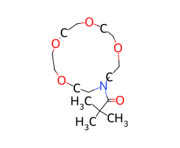 CC(C)(C)C(=O)N1CCOCCOCCOCCOCC1